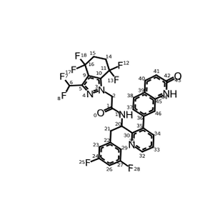 O=C(Cn1nc(C(F)F)c2c1C(F)(F)CCC2(F)F)NC(Cc1cc(F)cc(F)c1)c1ncccc1-c1ccc2ccc(=O)[nH]c2c1